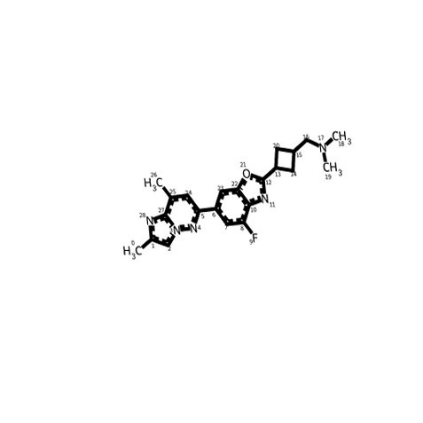 Cc1cn2nc(-c3cc(F)c4nc(C5CC(CN(C)C)C5)oc4c3)cc(C)c2n1